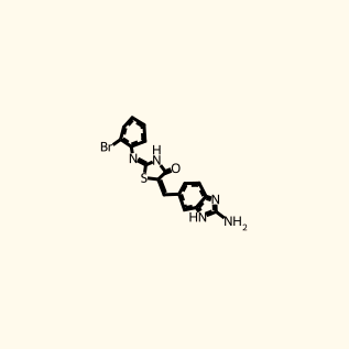 Nc1nc2ccc(C=C3SC(=Nc4ccccc4Br)NC3=O)cc2[nH]1